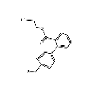 CCCOC(=O)c1ccccc1-c1ccc(CBr)cc1